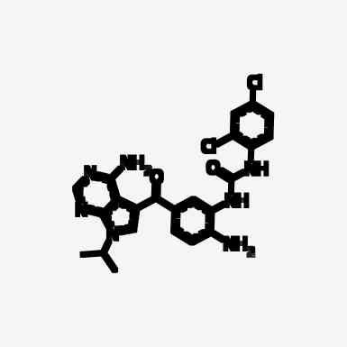 CC(C)n1cc(C(=O)c2ccc(N)c(NC(=O)Nc3ccc(Cl)cc3Cl)c2)c2c(N)ncnc21